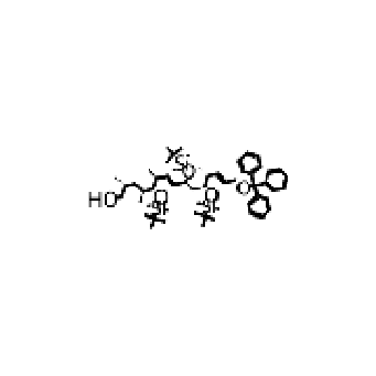 C[C@@H](CO)C[C@H](C)[C@@H](O[Si](C)(C)C(C)(C)C)[C@@H](C)C=C[C@H](C[C@H](O[Si](C)(C)C(C)(C)C)[C@H](C)C=CCOC(c1ccccc1)(c1ccccc1)c1ccccc1)O[Si](C)(C)C(C)(C)C